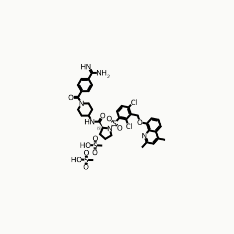 CS(=O)(=O)O.CS(=O)(=O)O.Cc1cc(C)c2cccc(OCc3c(Cl)ccc(S(=O)(=O)N4CCC[C@H]4C(=O)NC4CCN(C(=O)c5ccc(C(=N)N)cc5)CC4)c3Cl)c2n1